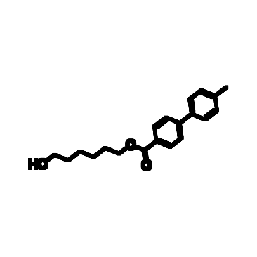 Cc1ccc(-c2ccc(C(=O)OCCCCCCO)cc2)cc1